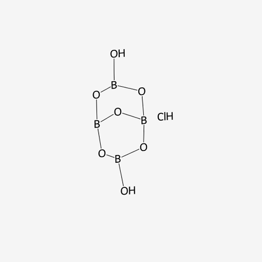 Cl.OB1OB2OB(O)OB(O1)O2